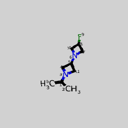 CC(C)N1CC(N2CC(F)C2)C1